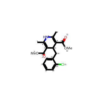 COC(=O)C1=C(C)NC(C)=C(C(=O)OC)C1Cc1ccccc1Cl